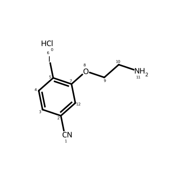 Cl.N#Cc1ccc(I)c(OCCN)c1